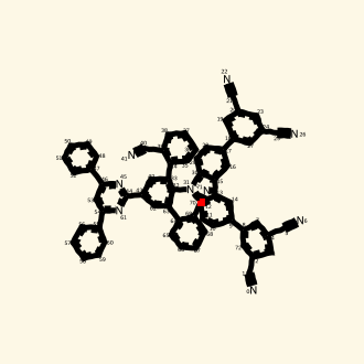 N#Cc1cc(C#N)cc(-c2ccc3c(c2)c2cc(-c4cc(C#N)cc(C#N)c4)ccc2n3-c2c(-c3ccccc3C#N)cc(-c3nc(-c4ccccc4)cc(-c4ccccc4)n3)cc2-c2ccccc2C#N)c1